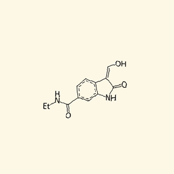 CCNC(=O)c1ccc2c(c1)NC(=O)/C2=C\O